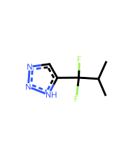 CC(C)C(F)(F)c1cnn[nH]1